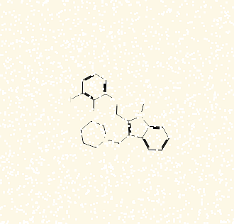 Cn1c(COc2cccc(Cl)c2Cl)c(CN2CCCCC2)c2ccccc21